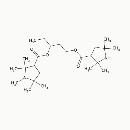 CCC(CCOC(=O)C1CC(C)(C)NC1(C)C)OC(=O)C1CC(C)(C)N(C)C1(C)C